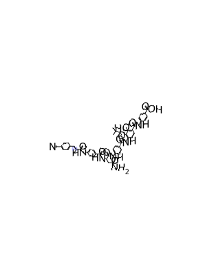 C/C(=C\c1ccc(C#N)cc1)C(=O)Nc1ccc(C(=O)NC(CC(N)=O)C(=O)Nc2ccc(C(=O)Nc3ccc(C(=O)Nc4ccc(C(=O)O)cc4)c(O)c3OCC(C)C)cc2)cc1